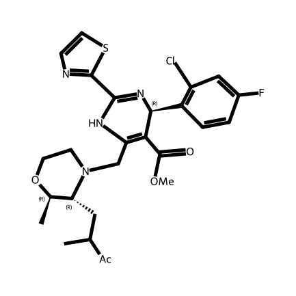 COC(=O)C1=C(CN2CCO[C@H](C)[C@H]2CC(C)C(C)=O)NC(c2nccs2)=N[C@H]1c1ccc(F)cc1Cl